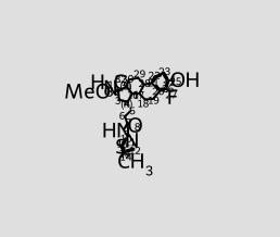 CON=C1C[C@@H](CCC(=O)Nc2ncc(C)s2)C2C3CCc4c(ccc(O)c4F)C3CC[C@]12C